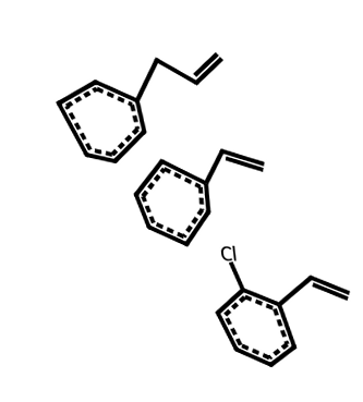 C=CCc1ccccc1.C=Cc1ccccc1.C=Cc1ccccc1Cl